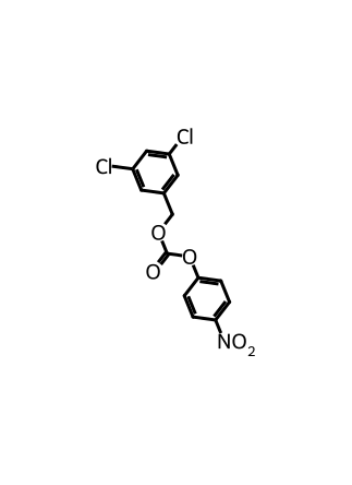 O=C(OCc1cc(Cl)cc(Cl)c1)Oc1ccc([N+](=O)[O-])cc1